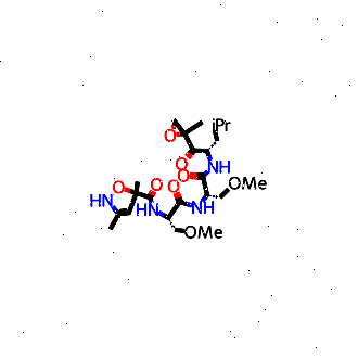 COC[C@H](NC(=O)[C@H](COC)NC(=O)C1(C)C=C(C)NO1)C(=O)N[C@@H](CC(C)C)C(=O)C1(C)CO1